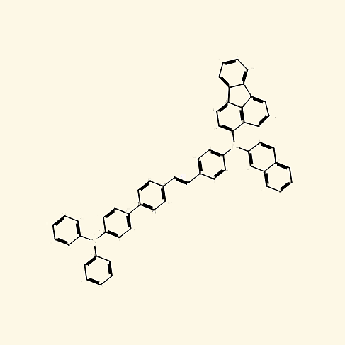 C(=C\c1ccc(N(c2ccc3ccccc3c2)c2ccc3c4c(cccc24)-c2ccccc2-3)cc1)/c1ccc(-c2ccc(N(c3ccccc3)c3ccccc3)cc2)cc1